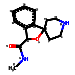 CNC(=O)C1OC2(CCNCC2)c2ccccc21